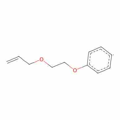 C=CCOCCOc1cc[c]cc1